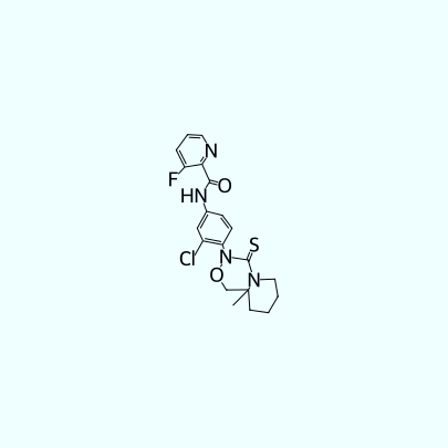 CC12CCCCN1C(=S)N(c1ccc(NC(=O)c3ncccc3F)cc1Cl)OC2